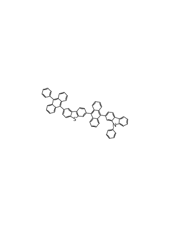 c1ccc(-c2c3ccccc3c(-c3ccc4sc5cc(-c6c7ccccc7c(-c7ccc8c9ccccc9n(-c9ccccc9)c8c7)c7ccccc67)ccc5c4c3)c3ccccc23)cc1